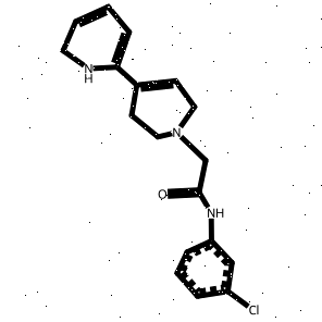 O=C(CN1CC=C(C2=CC=CCN2)CC1)Nc1cccc(Cl)c1